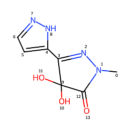 CN1N=C(c2ccn[nH]2)C(O)(O)C1=O